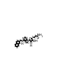 NC(=O)CCC[C@H]1O[C@@H](n2cnc3c(NCc4ccc5ccccc5c4)ncnc32)C(O)C1O